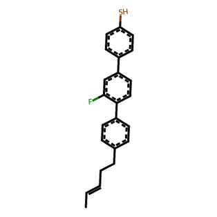 C/C=C/CCc1ccc(-c2ccc(-c3ccc(S)cc3)cc2F)cc1